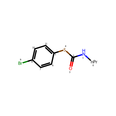 CCCNC(=O)Sc1ccc(Br)cc1